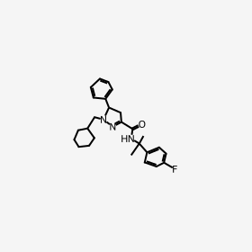 CC(C)(NC(=O)C1=NN(CC2CCCCC2)C(c2ccccc2)C1)c1ccc(F)cc1